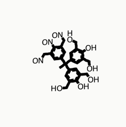 CC(c1cc(CO)c(O)c(CO)c1)(c1cc(CO)c(O)c(CO)c1)c1cc(CN=O)c(N=O)c(CN=O)c1